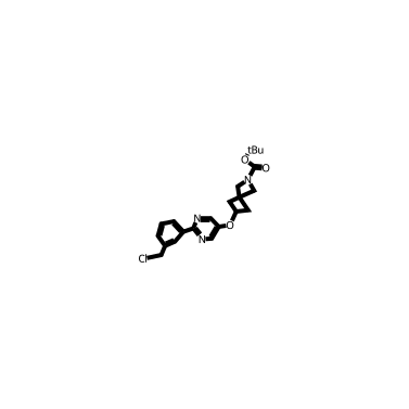 CC(C)(C)OC(=O)N1CC2(CC(Oc3cnc(-c4cccc(CCl)c4)nc3)C2)C1